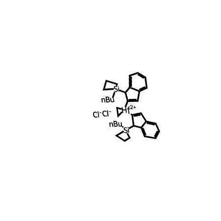 CCCC[Si]1(C2[C]([Hf+2]3([C]4=Cc5ccccc5C4[Si]4(CCCC)CCC4)[CH2][CH2]3)=Cc3ccccc32)CCC1.[Cl-].[Cl-]